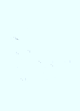 CC(=O)[C@H](NC(=O)N[C@H](CC(N)=O)c1nc([C@@H](N)CO)no1)C(C)O